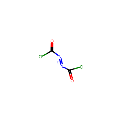 O=C(Cl)/N=N/C(=O)Cl